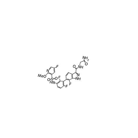 COc1ncc(F)cc1S(=O)(=O)Nc1ccc(F)c(-c2ccc3c(C(=O)NCC(N)=O)n[nH]c3c2F)c1F